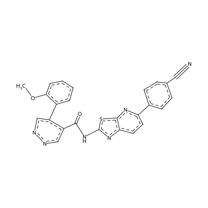 COc1ccccc1-c1cnncc1C(=O)Nc1nc2ccc(-c3ccc(C#N)cc3)nc2s1